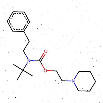 CC(C)(C)N(CCc1ccccc1)C(=O)OCCN1CCCCC1